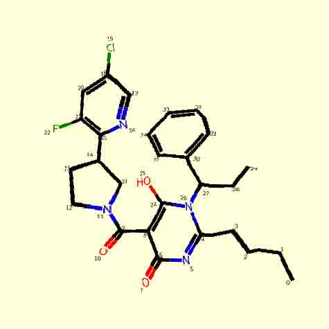 CCCCc1nc(=O)c(C(=O)N2CCC(c3ncc(Cl)cc3F)C2)c(O)n1C(CC)c1ccccc1